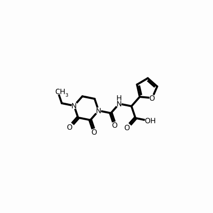 CCN1CCN(C(=O)NC(C(=O)O)c2ccco2)C(=O)C1=O